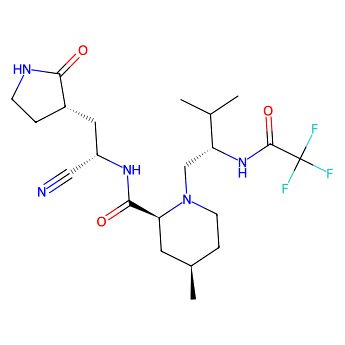 CC(C)[C@@H](CN1CC[C@@H](C)C[C@H]1C(=O)N[C@H](C#N)C[C@@H]1CCNC1=O)NC(=O)C(F)(F)F